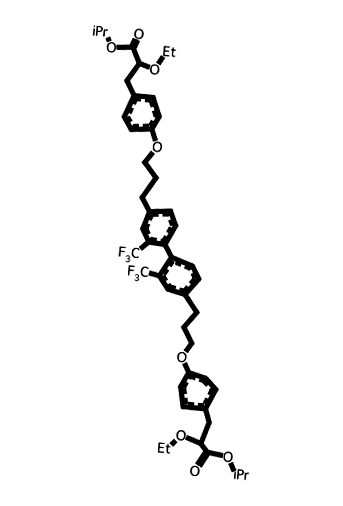 CCOC(Cc1ccc(OCCCc2ccc(-c3ccc(CCCOc4ccc(CC(OCC)C(=O)OC(C)C)cc4)cc3C(F)(F)F)c(C(F)(F)F)c2)cc1)C(=O)OC(C)C